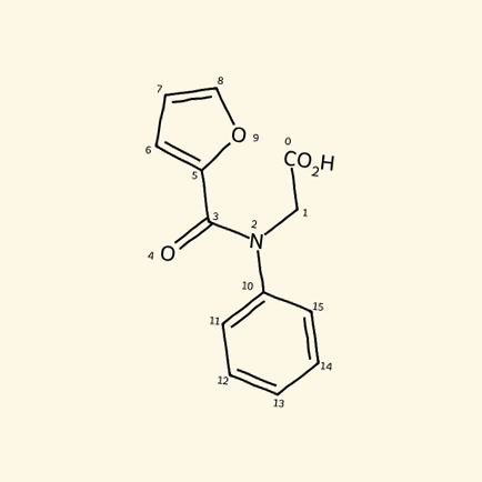 O=C(O)CN(C(=O)c1ccco1)c1ccccc1